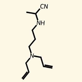 C=CCN(CC=C)CCCNC(C)C#N